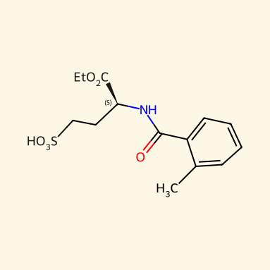 CCOC(=O)[C@H](CCS(=O)(=O)O)NC(=O)c1ccccc1C